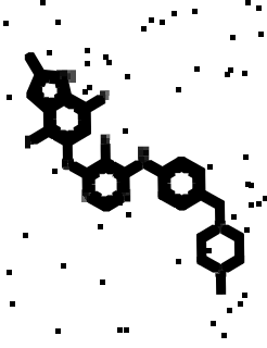 Cc1cc2c(F)c(Oc3ncnc(Nc4ccc(CN5CCN(C)CC5)cc4)c3F)cc(F)c2[nH]1